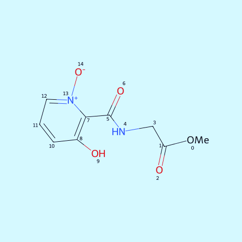 COC(=O)CNC(=O)c1c(O)ccc[n+]1[O-]